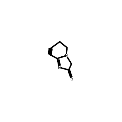 O=C1CN2CCC#CC2=N1